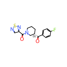 O=C(c1ccc(F)cc1)[C@H]1CCCN(C(=O)c2cnsn2)C1